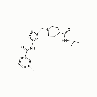 Cc1cncc(C(=O)Nc2csc(CN3CCC(C(=O)NC(C)(C)C)CC3)c2)c1